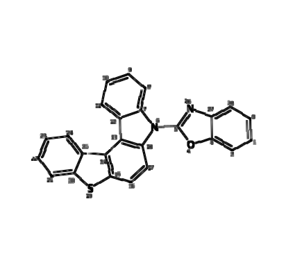 c1ccc2oc(-n3c4ccccc4c4c5c(ccc43)sc3ccccc35)nc2c1